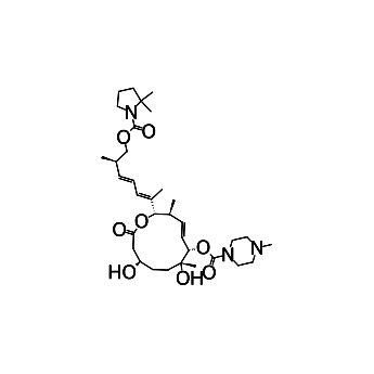 C/C(=C\C=C\[C@@H](C)COC(=O)N1CCCC1(C)C)[C@H]1OC(=O)C[C@H](O)CC[C@@](C)(O)[C@@H](OC(=O)N2CCN(C)CC2)/C=C/[C@@H]1C